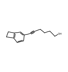 OCCCCC#Cc1ccc2c(c1)CC2